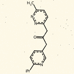 Cc1ccc(CC(=O)Cc2ccc(C(C)C)nc2)nn1